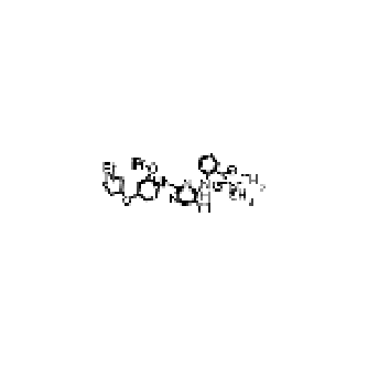 CCN1CCC(Oc2ccc(Nc3ncc(Cl)c(Nc4ccccc4S(=O)(=O)N(C)C)n3)c(OC(C)C)c2)C1